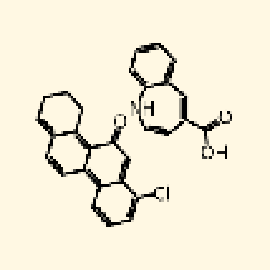 O=C(O)C1=Cc2ccccc2NC=C1.O=C1C=c2c(Cl)cccc2=c2ccc3c(c21)CCCC=3